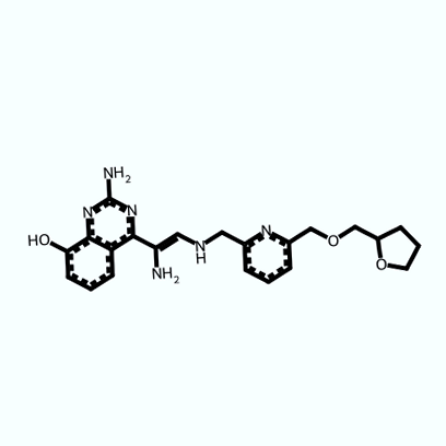 N/C(=C\NCc1cccc(COCC2CCCO2)n1)c1nc(N)nc2c(O)cccc12